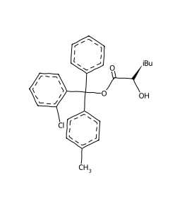 CC[C@H](C)C(O)C(=O)OC(c1ccccc1)(c1ccc(C)cc1)c1ccccc1Cl